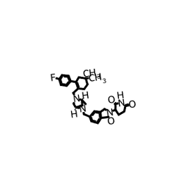 CC1(C)CCC(CN2C[C@H]3C[C@@H]2CN3Cc2ccc3c(c2)CN(C2CCC(=O)NC2=O)C3=O)=C(c2ccc(F)cc2)C1